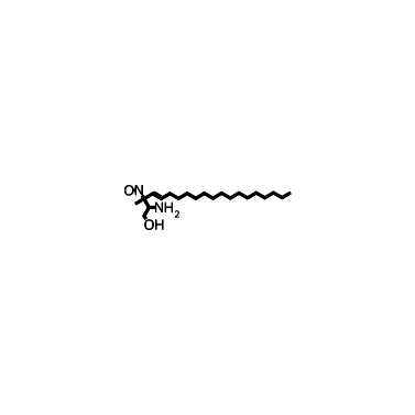 CCCCCCCCCCCCCCC/C=C/C(C)(N=O)C(N)CO